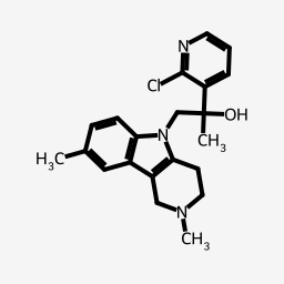 Cc1ccc2c(c1)c1c(n2CC(C)(O)c2cccnc2Cl)CCN(C)C1